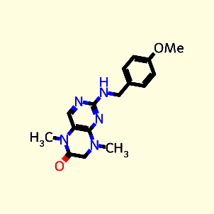 COc1ccc(CNc2ncc3c(n2)N(C)CC(=O)N3C)cc1